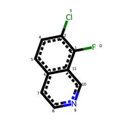 Fc1c(Cl)ccc2ccncc12